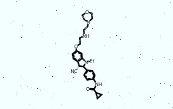 CCN1c2cc(OCCNCCN3CCOCC3)ccc2[C@@H](C#N)C1c1ccc(NC(=O)C2CC2)cc1